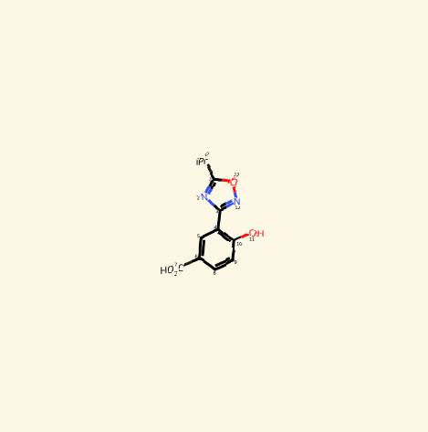 CC(C)c1nc(-c2cc(C(=O)O)ccc2O)no1